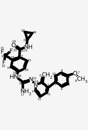 C=C1C(c2ccc(OC)cc2)=CC=CN1/N=C(\N)Nc1ccc(C(=O)NC2CC2)c(C(F)(F)F)c1